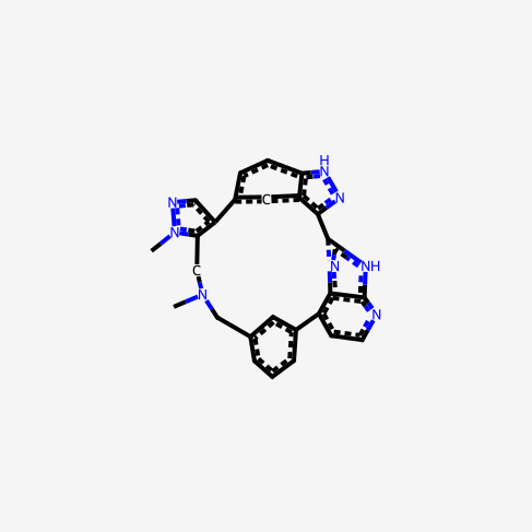 CN1Cc2cccc(c2)-c2ccnc3[nH]c(nc23)-c2n[nH]c3ccc(cc23)-c2cnn(C)c2C1